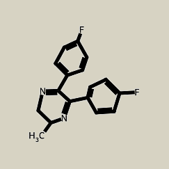 CC1CN=C(c2ccc(F)cc2)C(c2ccc(F)cc2)=N1